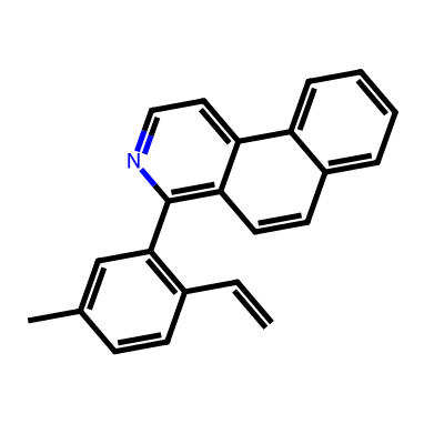 C=Cc1ccc(C)cc1-c1nccc2c1ccc1ccccc12